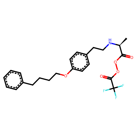 C[C@H](NCCc1ccc(OCCCCc2ccccc2)cc1)C(=O)OOC(=O)C(F)(F)F